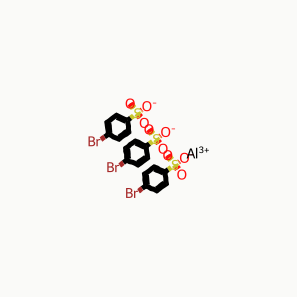 O=S(=O)([O-])c1ccc(Br)cc1.O=S(=O)([O-])c1ccc(Br)cc1.O=S(=O)([O-])c1ccc(Br)cc1.[Al+3]